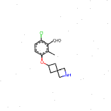 Cc1c(OC2CC3(CNC3)C2)ccc(Cl)c1C=O